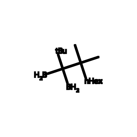 BC(B)(C(C)(C)C)C(C)(C)CCCCCC